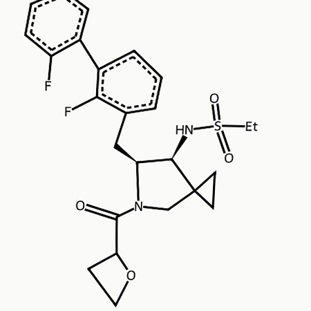 CCS(=O)(=O)N[C@@H]1[C@H](Cc2cccc(-c3ccccc3F)c2F)N(C(=O)C2CCO2)CC12CC2